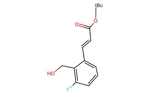 CC(C)(C)OC(=O)/C=C/c1cccc(F)c1CO